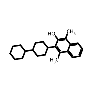 Cc1c(O)c(C2CCC(C3CCCCC3)CC2)c(C)c2ccccc12